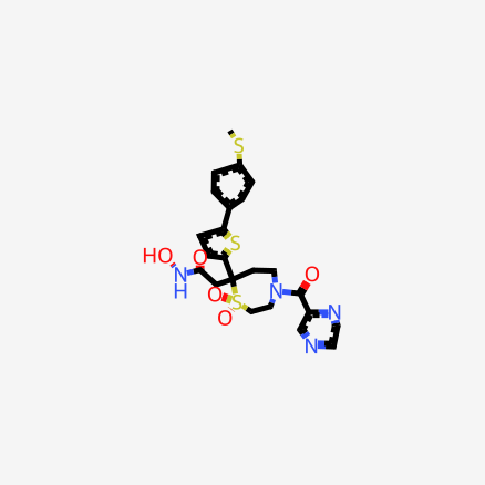 CSc1ccc(-c2ccc(C3(CC(=O)NO)CCN(C(=O)c4cnccn4)CCS3(=O)=O)s2)cc1